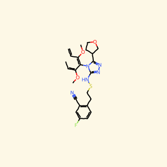 C=C/C(OC)=C(\C(=C/C)OC)n1c(NSCCc2ccc(F)cc2C#N)nnc1C1CCOC1